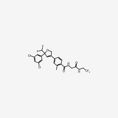 Cc1cc(C2=CC(c3cc(Cl)cc(Cl)c3)(C(F)F)OC2)ccc1C(=O)NCC(=O)NCC(F)(F)F